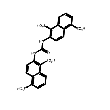 O=C(Nc1ccc2c(S(=O)(=O)O)cccc2c1S(=O)(=O)O)Nc1ccc2c(S(=O)(=O)O)cccc2c1S(=O)(=O)O